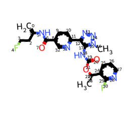 C=C(CCF)NC(=O)c1ccc(-c2nnn(C)c2NC(=O)O[C@H](C)c2cccnc2F)nc1